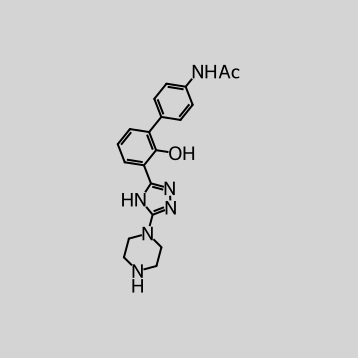 CC(=O)Nc1ccc(-c2cccc(-c3nnc(N4CCNCC4)[nH]3)c2O)cc1